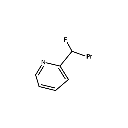 CC(C)C(F)c1ccccn1